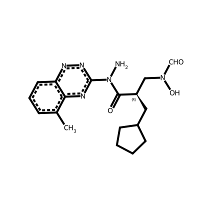 Cc1cccc2nnc(N(N)C(=O)[C@H](CC3CCCC3)CN(O)C=O)nc12